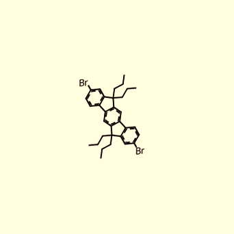 CCCC1(CCC)c2cc(Br)ccc2-c2cc3c(cc21)-c1ccc(Br)cc1C3(CCC)CCC